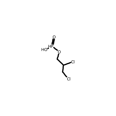 O=[PH](O)OCC(Cl)CCl